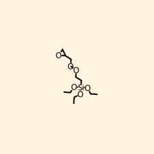 CCO[Si](CCOOCC1CO1)(OCC)OCC